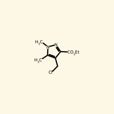 CCOC(=O)c1nn(C)c(C)c1CCl